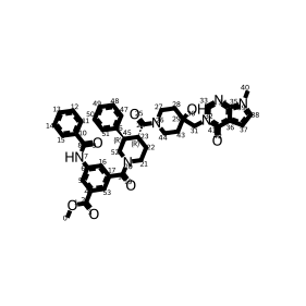 COC(=O)c1cc(NC(=O)c2ccccc2)cc(C(=O)N2CC[C@@H](C(=O)N3CCC(O)(Cn4cnc5c(ccn5C)c4=O)CC3)[C@H](c3ccccc3)C2)c1